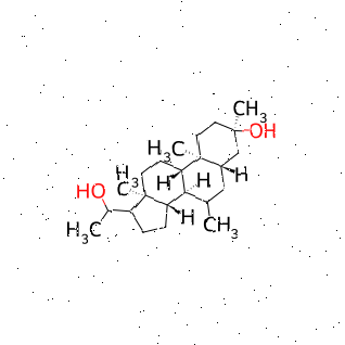 CC(O)C1CC[C@H]2[C@@H]3C(C)C[C@H]4C[C@](C)(O)CC[C@]4(C)[C@H]3CC[C@]12C